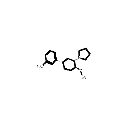 CC(C)O[C@H]1CC[C@H](c2cccc(C(F)(F)F)c2)C[C@@H]1N1CCCC1